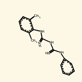 Cc1cccc(C)c1NC(=N)NC(=N)Nc1ccccc1